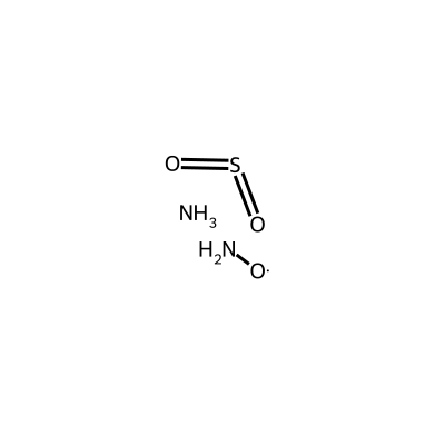 N.N[O].O=S=O